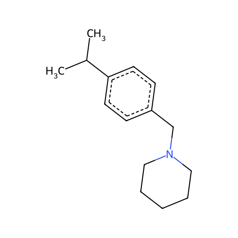 CC(C)c1ccc(CN2CCCCC2)cc1